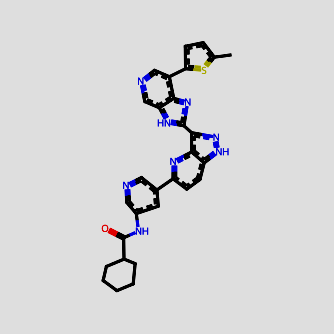 Cc1ccc(-c2cncc3[nH]c(-c4n[nH]c5ccc(-c6cncc(NC(=O)C7CCCCC7)c6)nc45)nc23)s1